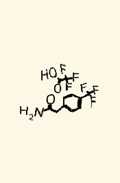 NC(=O)Cc1ccc(C(F)(F)F)cc1.O=C(O)C(F)(F)F